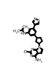 C=C(C)Nc1cc(-c2cnsc2)cc(C2CCC(n3ccc4c(N)nc(Cl)nc43)C2)c1